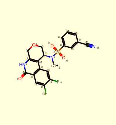 CN([C@@H]1COCc2[nH]c(=O)c3cc(F)c(F)cc3c21)S(=O)(=O)c1cccc(C#N)c1